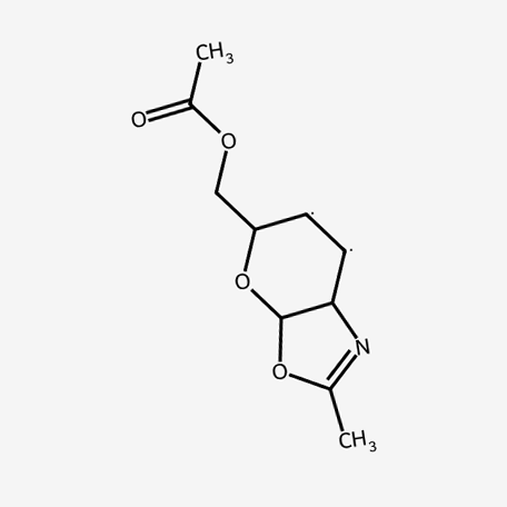 CC(=O)OCC1[CH][CH]C2N=C(C)OC2O1